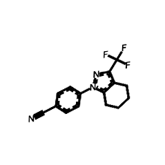 N#Cc1ccc(-n2nc(C(F)(F)F)c3c2CCCC3)cc1